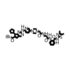 CCC(C)C(=O)C1=Cc2cnc(Nc3ccc(N4CCN(CC(=O)NCCC(=O)Nc5ccccc5C(=O)Nc5nc(C)c(C)s5)CC4)cn3)nc2C1C1CCCC1